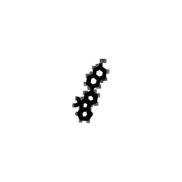 CC1(C)c2ccccc2-c2ccc(C3C=CC4CC(I)CCC4C3)cc21